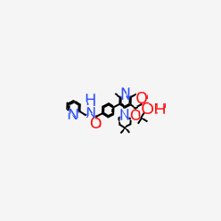 Cc1nc(C)c([C@H](OC(C)(C)C)C(=O)O)c(N2CCC(C)(C)CC2)c1-c1ccc(C(=O)NCc2ccccn2)cc1